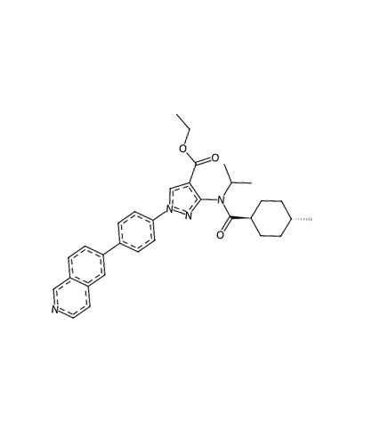 CCOC(=O)c1cn(-c2ccc(-c3ccc4cnccc4c3)cc2)nc1N(C(=O)[C@H]1CC[C@H](C)CC1)C(C)C